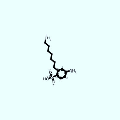 CCCCCCCCc1cc(N)ccc1S(=O)(=O)O